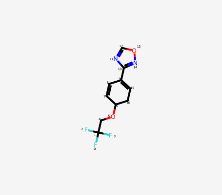 FC(F)(F)COC1C=CC(c2ncon2)=CC1